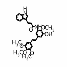 COc1cc(C=Cc2cc(O)c(OC)c(NC(=O)/C=C/c3c[nH]c4ccccc34)c2)cc(OC)c1OC